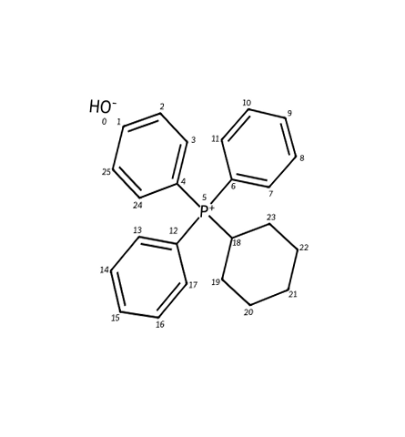 [OH-].c1ccc([P+](c2ccccc2)(c2ccccc2)C2CCCCC2)cc1